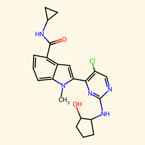 Cn1c(-c2nc(NC3CCCC3O)ncc2Cl)cc2c(C(=O)NC3CC3)cccc21